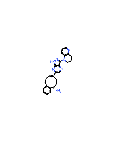 N[C@H]1CC/C(c2cnc3c(N4CCCc5ncccc54)n[nH]c3n2)=C\CCc2ccccc21